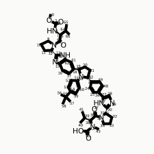 COC(=O)N[C@H](C(=O)N1CCC[C@H]1c1nc2ccc([C@H]3CC[C@H](c4ccc(-c5cnc([C@@H]6CCCN6C(=O)[C@H](C(C)C)N(C)C(=O)O)[nH]5)cc4)N3c3ccc(C(C)(C)C)cc3)cc2[nH]1)C(C)C